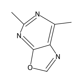 Cc1nc(C)c2ncoc2n1